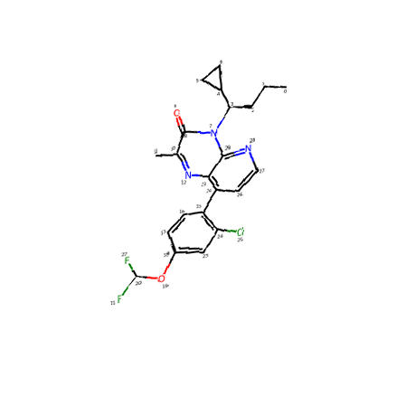 CCC[C@H](C1CC1)n1c(=O)c(C)nc2c(-c3ccc(OC(F)F)cc3Cl)ccnc21